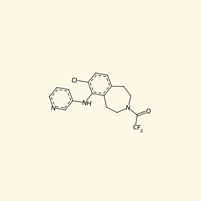 O=C(N1CCc2ccc(Cl)c(Nc3cccnc3)c2CC1)C(F)(F)F